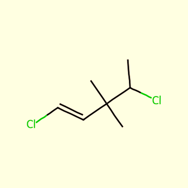 CC(Cl)C(C)(C)/C=C/Cl